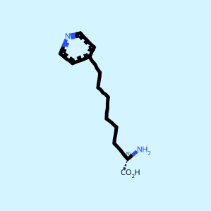 N[C@@H](CCCCCCc1ccncc1)C(=O)O